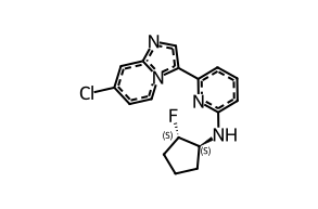 F[C@H]1CCC[C@@H]1Nc1cccc(-c2cnc3cc(Cl)ccn23)n1